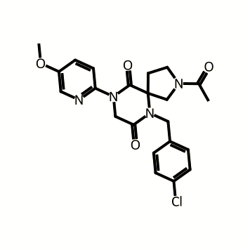 COc1ccc(N2CC(=O)N(Cc3ccc(Cl)cc3)C3(CCN(C(C)=O)C3)C2=O)nc1